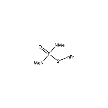 CCCSP(=O)(NC)NC